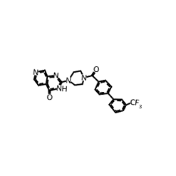 O=C(c1ccc(-c2cccc(C(F)(F)F)c2)cc1)N1CCN(c2nc3cnccc3c(=O)[nH]2)CC1